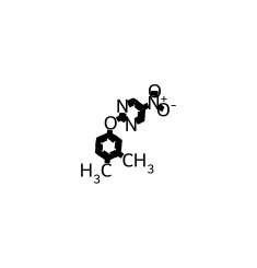 Cc1ccc(Oc2ncc([N+](=O)[O-])cn2)cc1C